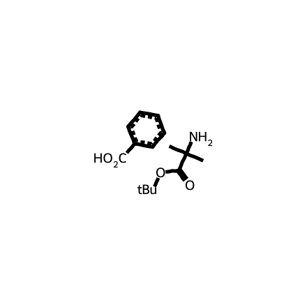 CC(C)(C)OC(=O)C(C)(C)N.O=C(O)c1ccccc1